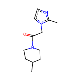 Cc1nccn1CC(=O)N1CCC(C)CC1